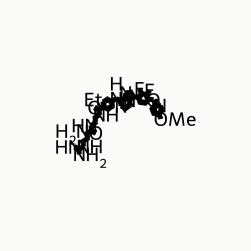 CCc1cc(Nc2nccn3c(-c4ccc(Oc5ccc(OC)cn5)c(F)c4F)cnc23)ccc1C(=O)NCCNC(=O)[C@@H](N)CCNC(=N)N